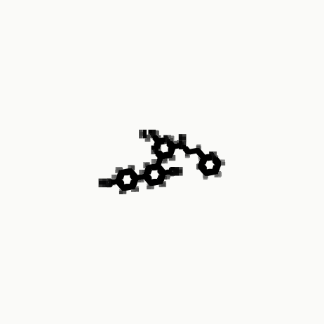 Nc1nc(NCCc2ccccn2)cc(-c2cc(-c3ccc(O)cc3)ccc2O)n1